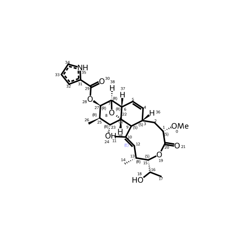 CO[C@H]1C[C@H]2C=C[C@H]3[C@H]4O[C@]2(/C(C)=C/[C@@H](C)[C@@H](C(C)O)OC1=O)[C@@H]3[C@H](O)[C@@H](C)[C@H]4OC(=O)c1ccc[nH]1